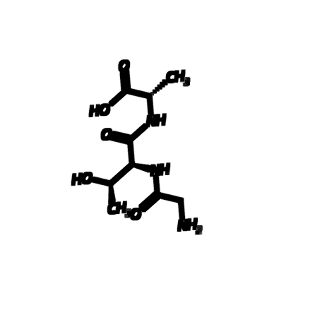 C[C@H](NC(=O)[C@@H](NC(=O)CN)[C@@H](C)O)C(=O)O